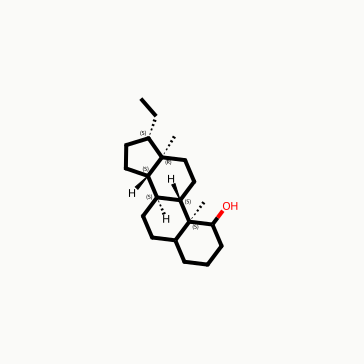 CC[C@H]1CC[C@H]2[C@@H]3CCC4CCCC(O)[C@]4(C)[C@H]3CC[C@]12C